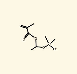 C=C(C)C(=O)OC(C)O[Si](C)(C)CC